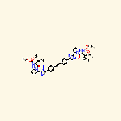 COC(=O)NC(C(=O)N1CCCC1c1ncc(-c2ccc(C#Cc3ccc(-c4cnc(C5C6CCC(C6)N5C(=O)C(NC(=O)OC)C(C)C)[nH]4)cc3)cc2)[nH]1)C(C)C